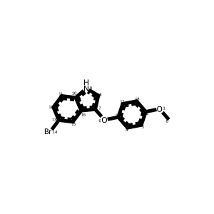 COc1ccc(Oc2c[nH]c3ccc(Br)cc23)cc1